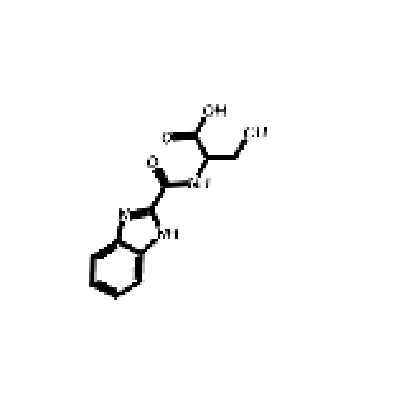 O=C(NC(CO)C(=O)O)c1nc2ccccc2[nH]1